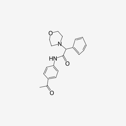 CC(=O)c1ccc(NC(=O)C(c2ccccc2)N2CCOCC2)cc1